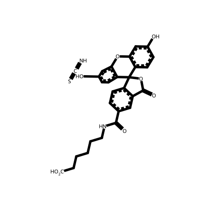 N=C=S.O=C(O)CCCCCNC(=O)c1ccc2c(c1)C(=O)OC21c2ccc(O)cc2Oc2cc(O)ccc21